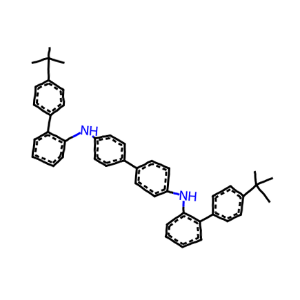 CC(C)(C)c1ccc(-c2ccccc2Nc2ccc(-c3ccc(Nc4ccccc4-c4ccc(C(C)(C)C)cc4)cc3)cc2)cc1